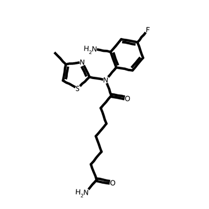 Cc1csc(N(C(=O)CCCCCC(N)=O)c2ccc(F)cc2N)n1